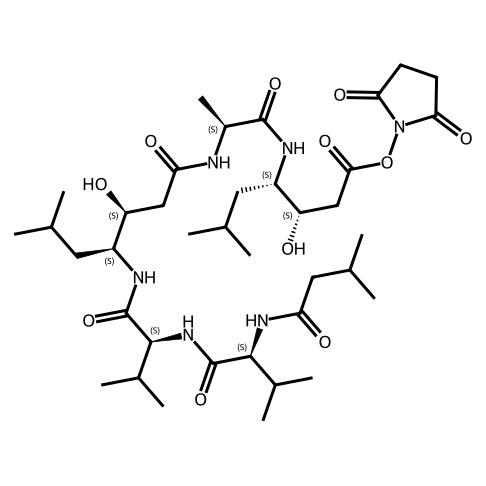 CC(C)CC(=O)N[C@H](C(=O)N[C@H](C(=O)N[C@@H](CC(C)C)[C@@H](O)CC(=O)N[C@@H](C)C(=O)N[C@@H](CC(C)C)[C@@H](O)CC(=O)ON1C(=O)CCC1=O)C(C)C)C(C)C